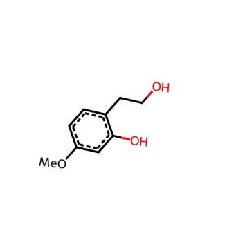 COc1ccc(CCO)c(O)c1